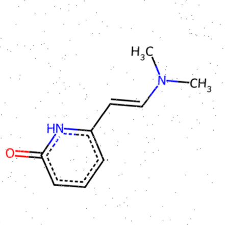 CN(C)C=Cc1[c]ccc(=O)[nH]1